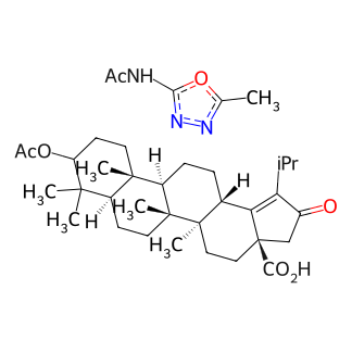 CC(=O)Nc1nnc(C)o1.CC(=O)OC1CC[C@]2(C)[C@H]3CC[C@@H]4C5=C(C(C)C)C(=O)C[C@]5(C(=O)O)CC[C@@]4(C)[C@]3(C)CC[C@H]2C1(C)C